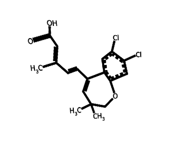 CC(C=CC1=CC(C)(C)COc2cc(Cl)c(Cl)cc21)=CC(=O)O